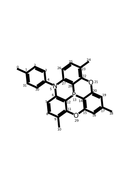 Cc1ccc(N2c3ccc(C)c4c3P3c5c(cc(C)cc5Oc5c(C)ccc2c53)O4)cc1